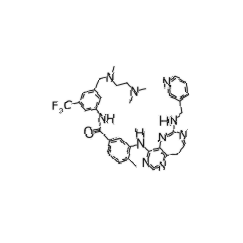 Cc1ccc(C(=O)Nc2cc(CN(C)CCN(C)C)cc(C(F)(F)F)c2)cc1Nc1ncnc2c1N=C(NCc1cccnc1)N=CC2